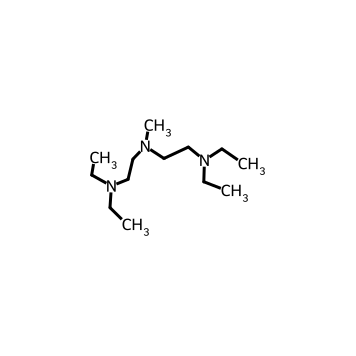 CCN(CC)CCN(C)CCN(CC)CC